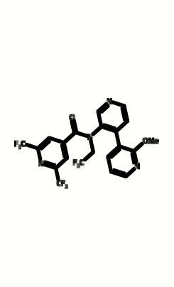 COc1ncccc1-c1ccncc1N(CC(F)(F)F)C(=O)c1cc(C(F)(F)F)nc(C(F)(F)F)c1